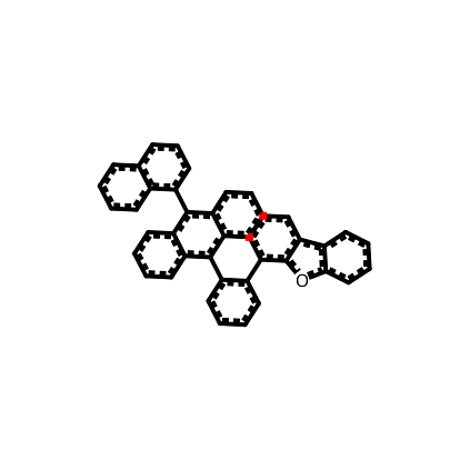 c1ccc(-c2cccc3c2oc2ccccc23)c(-c2c3ccccc3c(-c3cccc4ccccc34)c3ccccc23)c1